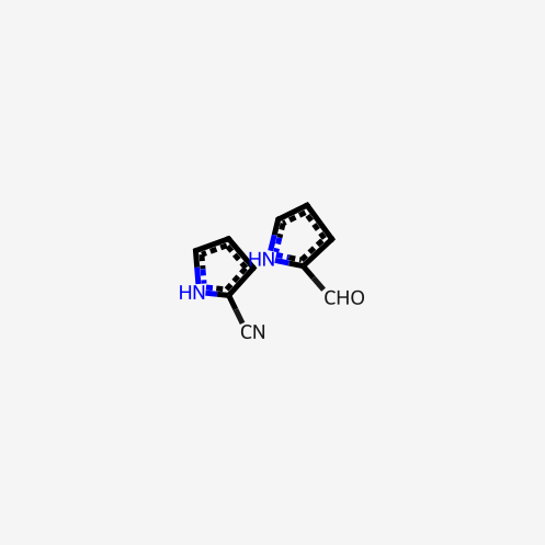 N#Cc1ccc[nH]1.O=Cc1ccc[nH]1